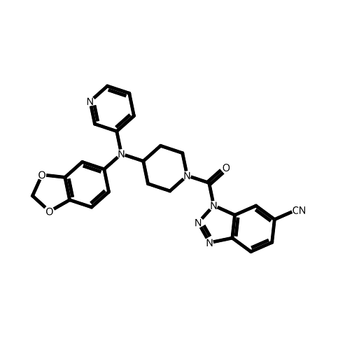 N#Cc1ccc2nnn(C(=O)N3CCC(N(c4cccnc4)c4ccc5c(c4)OCO5)CC3)c2c1